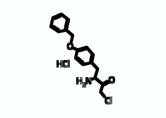 Cl.N[C@@H](Cc1ccc(OCc2ccccc2)cc1)C(=O)CCl